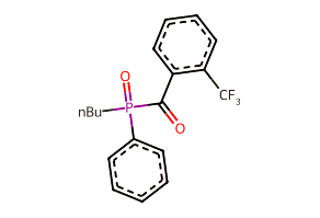 CCCCP(=O)(C(=O)c1ccccc1C(F)(F)F)c1ccccc1